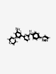 Nc1cc(-c2ccnc(Nc3ccc(-n4ccnn4)cc3)n2)cc(N2CCOCC2)c1